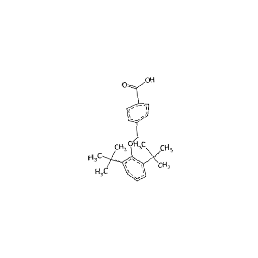 CC(C)(C)c1cccc(C(C)(C)C)c1OCc1ccc(C(=O)O)cc1